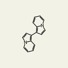 c1ccn2ccc(-c3ccn4ccccc34)c2c1